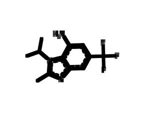 Cc1nc2cc(C(F)(F)F)cc(N)c2n1C(C)C